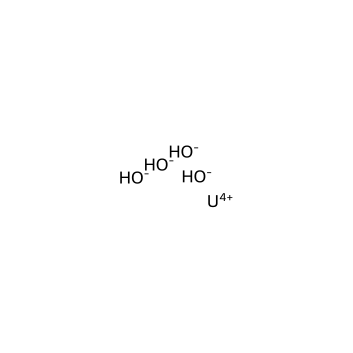 [OH-].[OH-].[OH-].[OH-].[U+4]